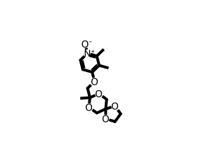 Cc1c(OCC2(C)OCC3(CO2)OCCO3)cc[n+]([O-])c1C